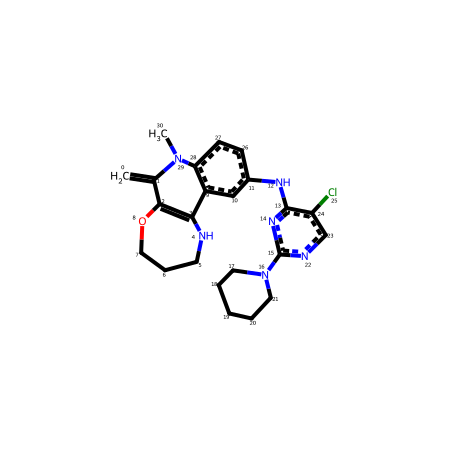 C=C1C2=C(NCCCO2)c2cc(Nc3nc(N4CCCCC4)ncc3Cl)ccc2N1C